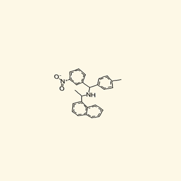 Cc1ccc(C(NC(C)c2cccc3ccccc23)c2cccc([N+](=O)[O-])c2)cc1